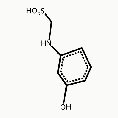 O=S(=O)(O)CNc1cccc(O)c1